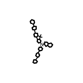 CC1(C)c2cc(-c3ccc(-c4ccccc4)cc3)ccc2-c2ccc(N(c3ccc(-c4ccc(-c5ccccc5)cc4)cc3)c3ccc4ccccc4c3)cc21